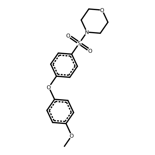 COc1ccc(Oc2ccc(S(=O)(=O)N3CCOCC3)cc2)cc1